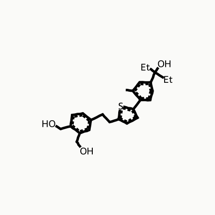 CCC(O)(CC)c1ccc(-c2ccc(CCc3ccc(CO)c(CO)c3)s2)c(C)c1